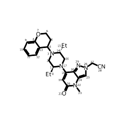 CC[C@H]1CN(C2CCOc3ccccc32)[C@H](CC)CN1c1cc(=O)n(C)c2cn(CC#N)nc12